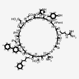 CCCCC[C@@H]1NC(=O)[C@H](CCCNC(=N)N)NC(=O)[C@H](C)NC(=O)CSC[C@@H](C(N)=O)NC(=O)[C@H](CC(=O)O)NC(=O)[C@H](CCCCc2ccccc2)NC(=O)[C@H](Cc2ccc(-c3ccccc3)cc2)NC(=O)[C@H](CC(C)C)NC(=O)[C@H](C(C)C)NC(=O)[C@H](CCC(=O)O)NC(=O)[C@H](CC(=O)O)CC(=O)[C@H](Cc2c[nH]cn2)NC(=O)[C@H](Cc2ccc(O)cc2)NC1=O